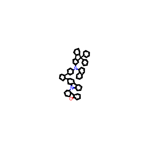 c1ccc(C2(c3ccccc3)c3ccccc3-c3ccc(N(c4ccc(-c5ccccc5-c5ccc6c7ccccc7n(-c7cccc8oc9ccccc9c78)c6c5)cc4)c4cccc5ccccc45)cc32)cc1